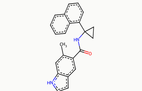 Cc1cc2[nH]ccc2cc1C(=O)NC1(c2cccc3ccccc23)CC1